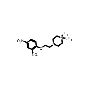 C[N+]1(C)CCN(CCOc2ccc([N+](=O)[O-])cc2[N+](=O)[O-])CC1